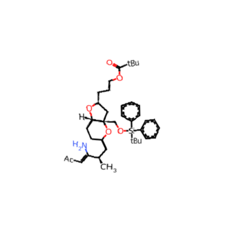 CC(=O)/C=C(\N)[C@H](C)CC1CC[C@@H]2O[C@@H](CCCOC(=O)C(C)(C)C)C[C@]2(CO[Si](c2ccccc2)(c2ccccc2)C(C)(C)C)O1